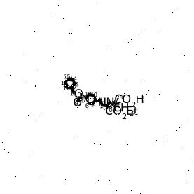 CCOC(=O)[C@H](CCC1CCN(C(=O)OCc2ccccc2)CC1)N[C@@H](C)C(=O)O